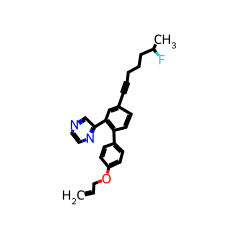 C=CCOc1ccc(-c2ccc(C#CCCCC(C)F)cc2-c2cnccn2)cc1